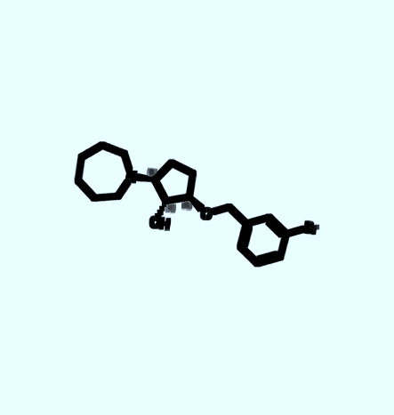 O[C@H]1[C@H](OCc2cccc(Br)c2)CC[C@@H]1N1CCCCCC1